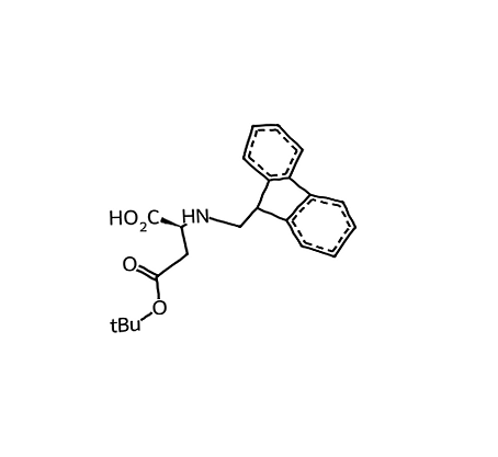 CC(C)(C)OC(=O)C[C@H](NCC1c2ccccc2-c2ccccc21)C(=O)O